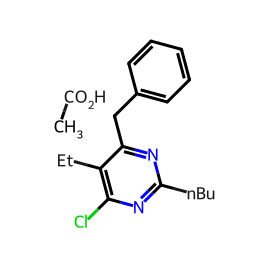 CC(=O)O.CCCCc1nc(Cl)c(CC)c(Cc2ccccc2)n1